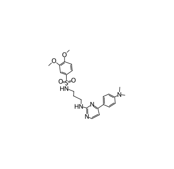 COc1ccc(S(=O)(=O)NCCCNc2nccc(-c3ccc(N(C)C)cc3)n2)cc1OC